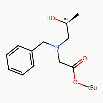 C[C@H](O)CN(CC(=O)OC(C)(C)C)Cc1ccccc1